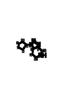 C1CCC(n2nnc3c2CCNC3)C1